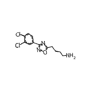 NCCCCc1nc(-c2ccc(Cl)c(Cl)c2)no1